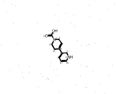 O=C(O)N1CC=C(C2=CC=CNC2)CC1